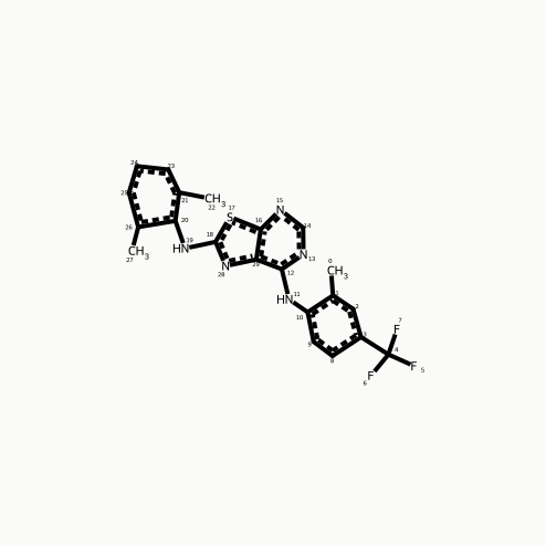 Cc1cc(C(F)(F)F)ccc1Nc1ncnc2sc(Nc3c(C)cccc3C)nc12